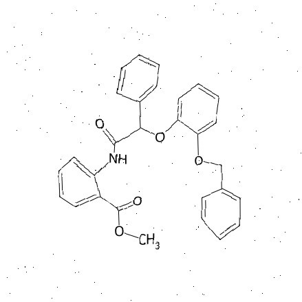 COC(=O)c1ccccc1NC(=O)C(Oc1ccccc1OCc1ccccc1)c1ccccc1